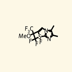 COC1(C(F)(F)F)C2=Cn3c(nc(C)c3C)S2(F)C1(F)F